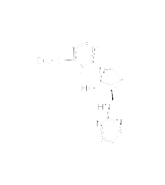 CCOC(=O)c1cccc(N2CC[C@@H](CNc3ncccn3)[C@@H]2O)c1